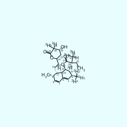 [2H]C([2H])([2H])[C@H]1C=C2C=C[C@H](C)[C@H](CCC3C[C@@H](O)C([2H])([2H])C(=O)O3)[C@H]2[C@@H](OC(=O)[C@]([2H])(CC)C([2H])([2H])[2H])C1